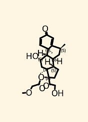 COCC(=O)O[C@]1(C(=O)CO)CC[C@H]2[C@@H]3C[C@H](C)C4=CC(=O)C=C[C@]4(C)[C@H]3[C@@H](O)C[C@@]21C